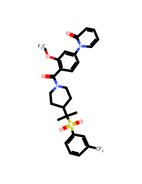 CC(C)(C1CCN(C(=O)c2ccc(-n3ccccc3=O)cc2OC(F)(F)F)CC1)S(=O)(=O)c1cccc(C(F)(F)F)c1